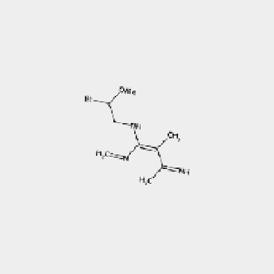 C=N/C(NCC(CC)OC)=C(/C)C(C)=N